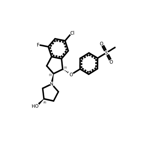 CS(=O)(=O)c1ccc(O[C@H]2c3cc(Cl)cc(F)c3C[C@@H]2N2CC[C@@H](O)C2)cc1